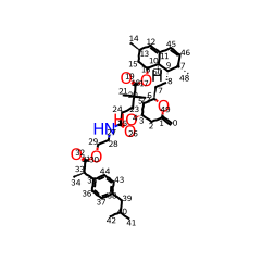 C=C1C[C@H](O)C[C@@H](CC[C@@H]2[C@@H]3C(=C[C@H](C)C[C@@H]3OC(=O)C(C)(C)CCC(=O)NCCOC(=O)[C@H](C)c3ccc(CC(C)C)cc3)C=C[C@@H]2C)O1